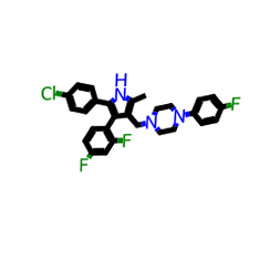 Cc1[nH]c(-c2ccc(Cl)cc2)c(-c2ccc(F)cc2F)c1CN1CCN(c2ccc(F)cc2)CC1